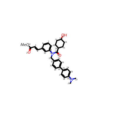 COC(=O)/C=C/c1cccc(N(Cc2ccc(-c3ccc(N(C)C)cc3)cc2)C(=O)C2CCC(O)CC2)c1